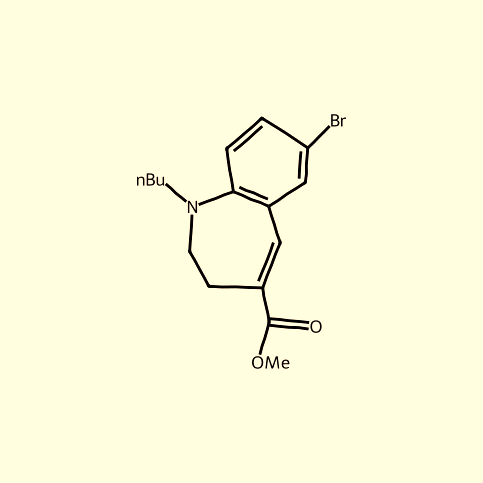 CCCCN1CCC(C(=O)OC)=Cc2cc(Br)ccc21